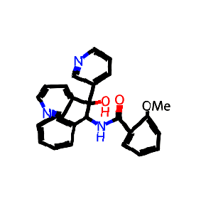 COc1ccccc1C(=O)NC(c1ccccc1)C(O)(c1cccnc1)c1cccnc1